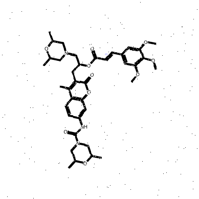 COc1cc(/C=C/C(=O)OC(Cc2c(C)c3ccc(NC(=O)N4CC(C)OC(C)C4)cc3oc2=O)CN2CC(C)OC(C)C2)cc(OC)c1OC